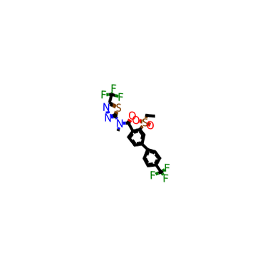 CCS(=O)(=O)c1cc(-c2ccc(C(F)(F)F)cc2)ccc1C(=O)N(C)c1nnc(C(F)(F)F)s1